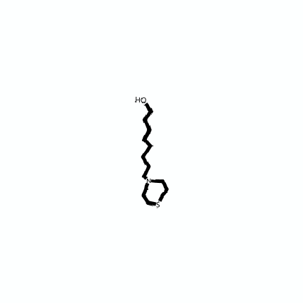 OCCCCCCCCN1CCSCC1